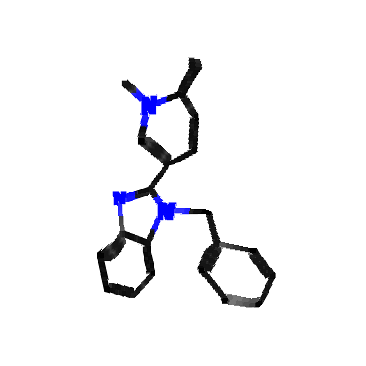 C=C1C=CC(c2nc3ccccc3n2Cc2ccccc2)=CN1C